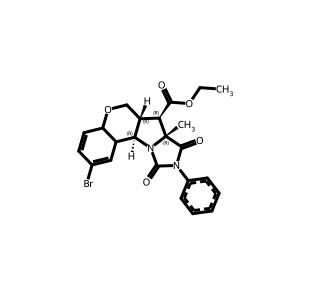 CCOC(=O)[C@@H]1[C@H]2COC3C=CC(Br)=CC3[C@@H]2N2C(=O)N(c3ccccc3)C(=O)[C@@]12C